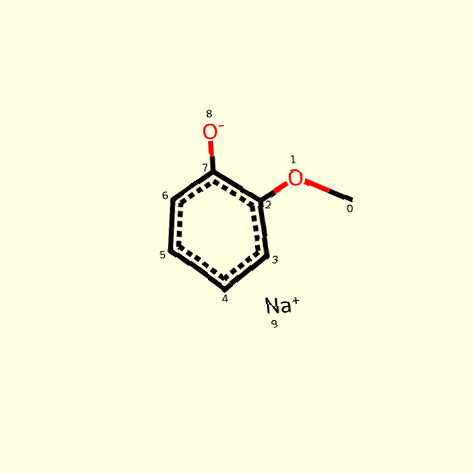 COc1ccccc1[O-].[Na+]